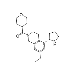 CCc1cc2c(c([C@@H]3CCCN3)c1)CCN(C(=O)C1CCOCC1)C2